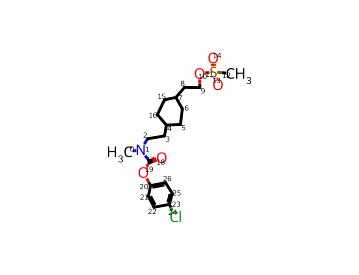 CN(CCC1CCC(CCOS(C)(=O)=O)CC1)C(=O)Oc1ccc(Cl)cc1